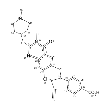 C#CCN(Cc1cc2c(=O)n(C)c(CN3CCN(C)CC3)nc2cc1Cl)c1ccc(C(=O)O)cc1